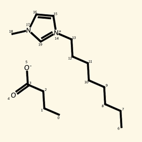 CCCC(=O)[O-].CCCCCCCC[n+]1ccn(C)c1